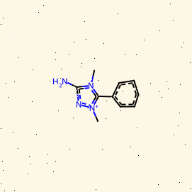 Cn1c(N)n[n+](C)c1-c1ccccc1